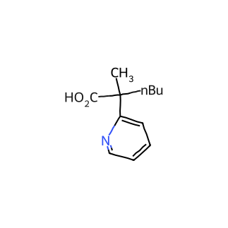 CCCCC(C)(C(=O)O)c1ccccn1